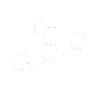 Cc1noc(C)c1-c1cc(Nc2cncc(F)c2)c(=O)n(Cc2ccccc2)c1